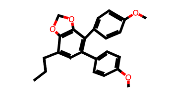 CCCc1[c]c(-c2ccc(OC)cc2)c(-c2ccc(OC)cc2)c2c1OCO2